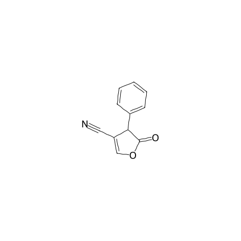 N#CC1=COC(=O)C1c1ccccc1